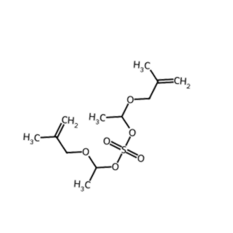 C=C(C)COC(C)OS(=O)(=O)OC(C)OCC(=C)C